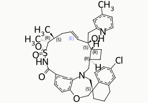 Cc1ccnc(C[C@@]2(O)/C=C/C[C@H](C)[C@@H](C)S(=O)(=O)NC(=O)c3ccc4c(c3)N(C[C@@H]3CC[C@H]32)C[C@@]2(CCCc3cc(Cl)ccc32)CO4)c1